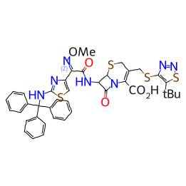 CO/N=C(\C(=O)NC1C(=O)N2C(C(=O)O)=C(CSc3nnsc3C(C)(C)C)CSC12)c1csc(NC(c2ccccc2)(c2ccccc2)c2ccccc2)n1